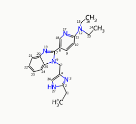 CCc1nc(Cn2c(-c3ccc(N(CC)CC)nc3)nc3ccccc32)c[nH]1